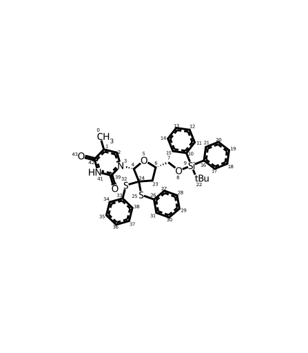 Cc1cn([C@@H]2O[C@H](CO[Si](c3ccccc3)(c3ccccc3)C(C)(C)C)CC2(Sc2ccccc2)Sc2ccccc2)c(=O)[nH]c1=O